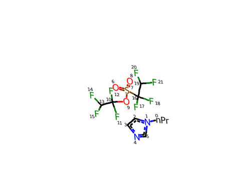 CCCn1ccnc1.O=S(=O)(OC(F)(F)C(F)F)C(F)(F)C(F)F